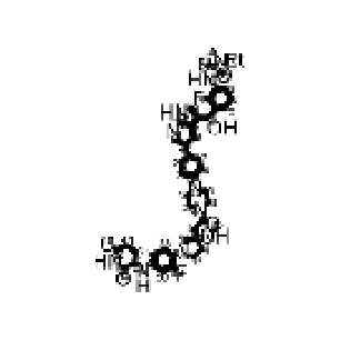 CCN(C)S(=O)(=O)Nc1cccc(C(O)c2c[nH]c3ncc(-c4ccc(N5CCN(C(=O)CC6(O)CCN(c7ccc(NC8CCC(=O)NC8=O)cc7F)C6)CC5)cc4)cc23)c1F